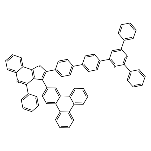 c1ccc(-c2cc(-c3ccc(-c4ccc(-c5sc6c(c(-c7ccccc7)nc7ccccc76)c5-c5ccc6c7ccccc7c7ccccc7c6c5)cc4)cc3)nc(-c3ccccc3)n2)cc1